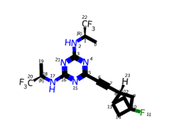 C[C@@H](Nc1nc(C#C[C@@H]2CC3(F)CC2C3)nc(N[C@H](C)C(F)(F)F)n1)C(F)(F)F